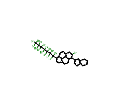 Brc1cc2ccc3c(C(Br)(Br)C(Br)(Br)C(Br)(Br)C(Br)(Br)C(Br)(Br)C(Br)(Br)C(Br)(Br)Br)ccc4ccc(c1-c1ccc5ccccc5c1)c2c43